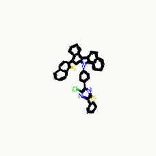 Clc1nc2c(nc1-c1ccc(-n3c4c5ccccc5ccc4c4c5ccccc5c5c6c(sc5c43)C3C=CC=CC3C=C6)cc1)sc1ccccc12